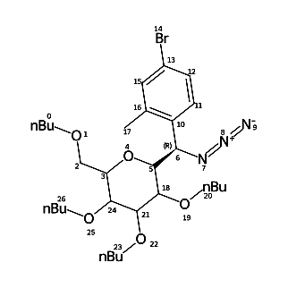 CCCCOCC1OC([C@H](N=[N+]=[N-])c2ccc(Br)cc2C)C(OCCCC)C(OCCCC)C1OCCCC